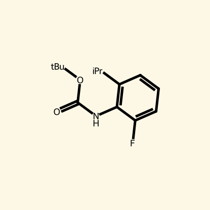 CC(C)c1cccc(F)c1NC(=O)OC(C)(C)C